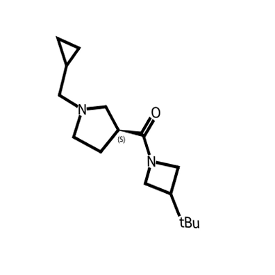 CC(C)(C)C1CN(C(=O)[C@H]2CCN(CC3CC3)C2)C1